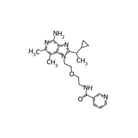 Cc1nc(N)c2nc(C(C)C3CC3)n(CCOCCNC(=O)c3cccnc3)c2c1C